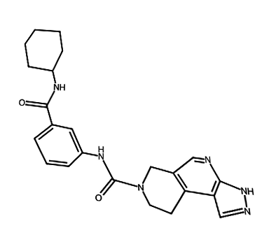 O=C(NC1CCCCC1)c1cccc(NC(=O)N2CCc3c(cnc4[nH]ncc34)C2)c1